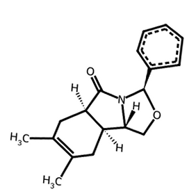 CC1=C(C)C[C@H]2C(=O)N3[C@@H](c4ccccc4)OC[C@@H]3[C@H]2C1